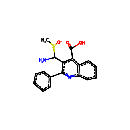 C[S+]([O-])C(N)c1c(-c2ccccc2)nc2ccccc2c1C(=O)O